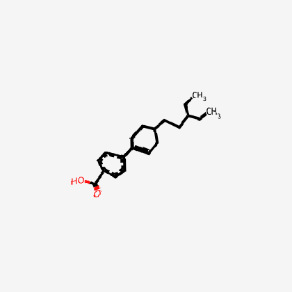 CCC(CC)CCC1CC=C(c2ccc(C(=O)O)cc2)CC1